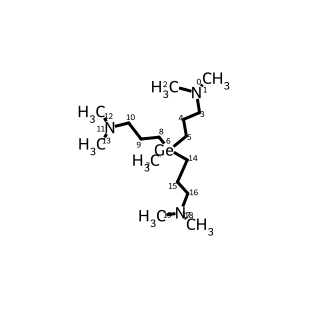 CN(C)CC[CH2][Ge]([CH3])([CH2]CCN(C)C)[CH2]CCN(C)C